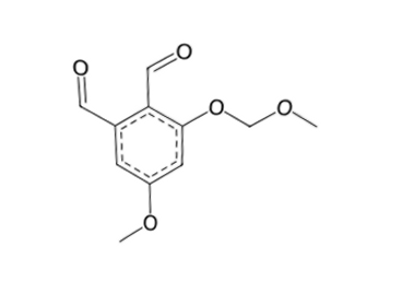 COCOc1cc(OC)cc(C=O)c1C=O